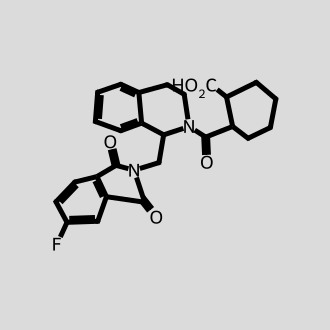 O=C(O)C1CCCCC1C(=O)N1CCc2ccccc2C1CN1C(=O)c2ccc(F)cc2C1=O